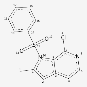 Cc1cc2ccnc(Cl)c2n1S(=O)(=O)c1ccccc1